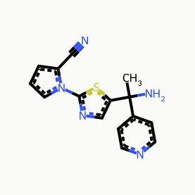 CC(N)(c1ccncc1)c1cnc(-n2cccc2C#N)s1